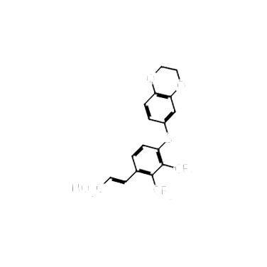 O=C(O)C=Cc1ccc(Sc2ccc3c(c2)OCCO3)c(C(F)(F)F)c1C(F)(F)F